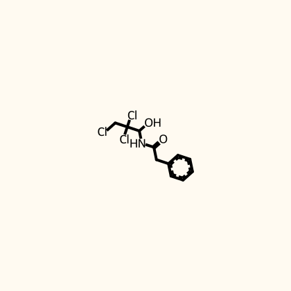 O=C(Cc1ccccc1)NC(O)C(Cl)(Cl)CCl